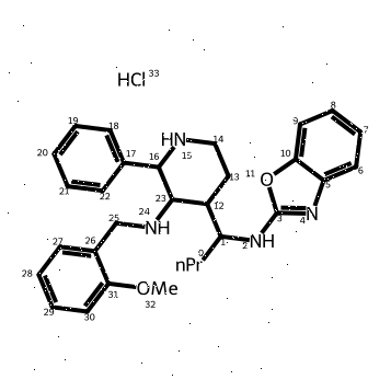 CCCC(Nc1nc2ccccc2o1)C1CCNC(c2ccccc2)C1NCc1ccccc1OC.Cl